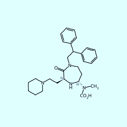 CN(C(=O)O)[C@H]1CCN(CC(c2ccccc2)c2ccccc2)C(=O)[C@H](CCN2CCCCC2)N1